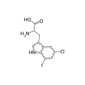 NC(Cc1c[nH]c2c(I)cc(Cl)cc12)C(=O)O